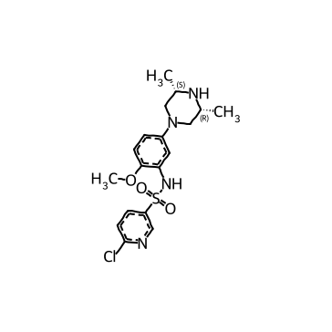 COc1ccc(N2C[C@@H](C)N[C@@H](C)C2)cc1NS(=O)(=O)c1ccc(Cl)nc1